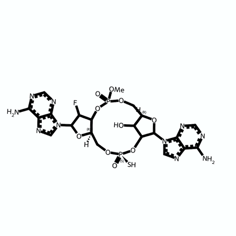 COP1(=O)OC[C@H]2OC(n3cnc4c(N)ncnc43)C(O[P@@](=O)(S)OC[C@H]3OC(n4cnc5c(N)ncnc54)C(F)C3O1)C2O